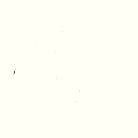 CCCCOC(=O)N1CCN(C(=O)[C@H](CP(=O)(OCC)OCC)NC(=O)c2cc([C@H]3C[C@@H]3CO)nc(-c3ccccc3)n2)CC1